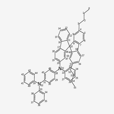 CCCCc1ccc2c(c1)C1(c3ccccc3-c3ccc(N(c4ccccc4)c4ccc(N(c5ccccc5)c5ccccc5)cc4)cc31)c1cc(CCCC)ccc1-2